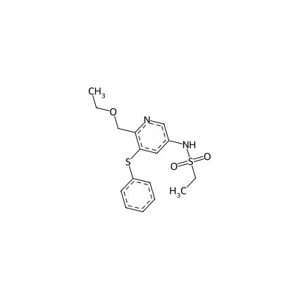 CCOCc1ncc(NS(=O)(=O)CC)cc1Sc1ccccc1